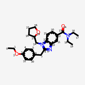 CCOc1ccc(Cc2nc3cc(C(=O)N(CC)CC)ccc3n2CC2CCCO2)cc1